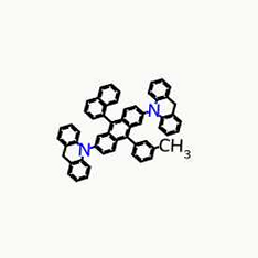 Cc1cccc(-c2c3cc(N4c5ccccc5Cc5ccccc54)ccc3c(-c3cccc4ccccc34)c3cc(N4c5ccccc5Cc5ccccc54)ccc23)c1